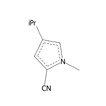 CC(C)c1cc(C#N)n(C)c1